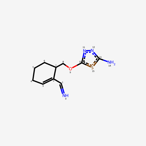 N=CC1=CCCCC1COc1nnc(N)s1